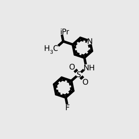 CC(C)C(C)c1cncc(NS(=O)(=O)c2cccc(F)c2)c1